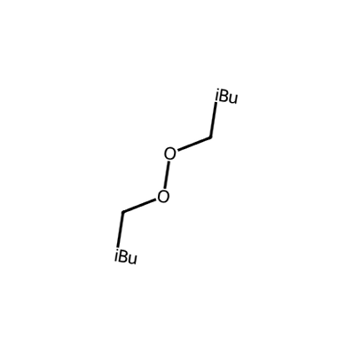 CCC(C)COOCC(C)CC